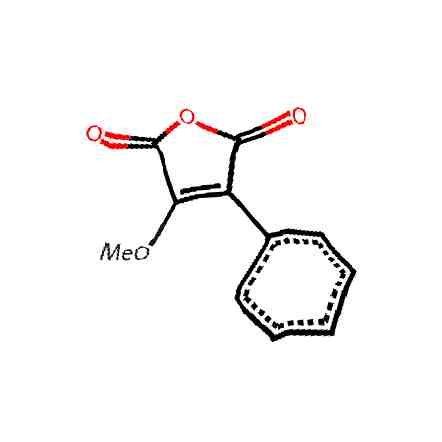 COC1=C(c2ccccc2)C(=O)OC1=O